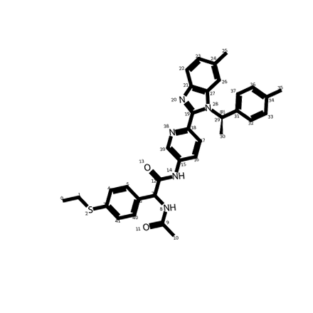 CCSc1ccc(C(NC(C)=O)C(=O)Nc2ccc(-c3nc4ccc(C)cc4n3[C@H](C)c3ccc(C)cc3)nc2)cc1